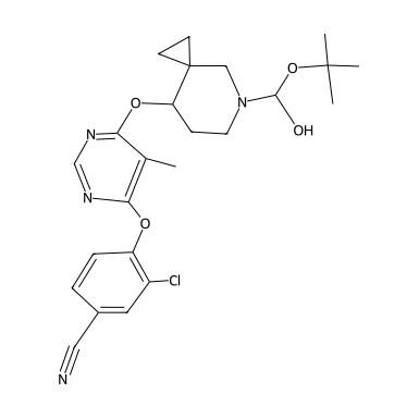 Cc1c(Oc2ccc(C#N)cc2Cl)ncnc1OC1CCN(C(O)OC(C)(C)C)CC12CC2